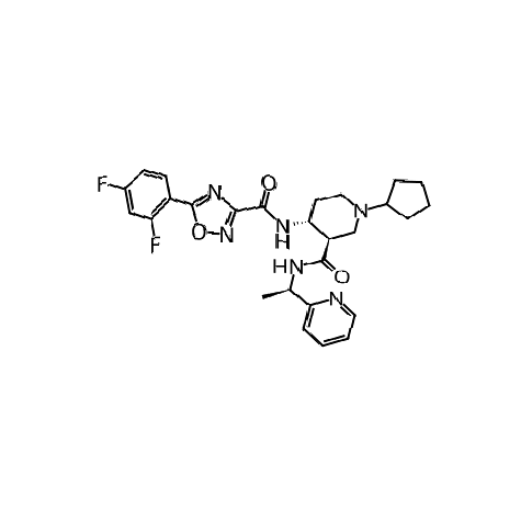 C[C@@H](NC(=O)[C@@H]1CN(C2CCCC2)CC[C@H]1NC(=O)c1noc(-c2ccc(F)cc2F)n1)c1ccccn1